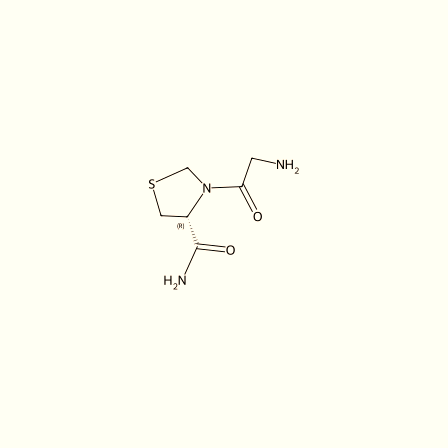 NCC(=O)N1CSC[C@H]1C(N)=O